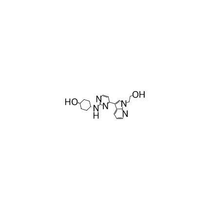 OCCn1cc(-c2ccnc(N[C@H]3CC[C@H](O)CC3)n2)c2cccnc21